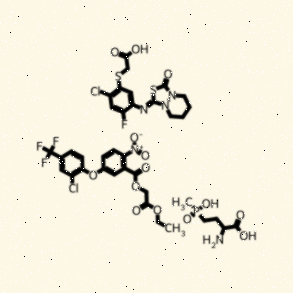 CCOC(=O)COC(=O)c1cc(Oc2ccc(C(F)(F)F)cc2Cl)ccc1[N+](=O)[O-].CP(=O)(O)CCC(N)C(=O)O.O=C(O)CSc1cc(N=c2sc(=O)n3n2CCCC3)c(F)cc1Cl